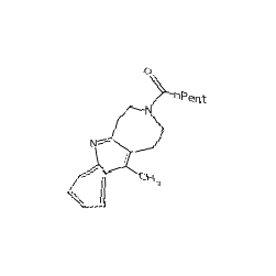 CCCCCC(=O)N1CCc2nc3ccccc3c(C)c2CC1